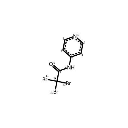 O=C(Nc1ccncc1)C(Br)(Br)Br